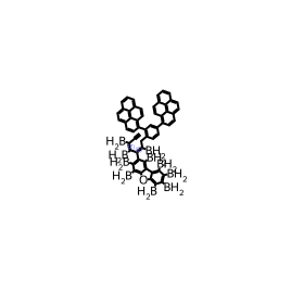 B/C(C#C)=C(B)/C(=C(/B)Cc1ccc(-c2ccc3ccc4cccc5ccc2c3c45)cc1-c1ccc2ccc3cccc4ccc1c2c34)c1c(B)c(B)c2oc3c(B)c(B)c(B)c(B)c3c2c1B